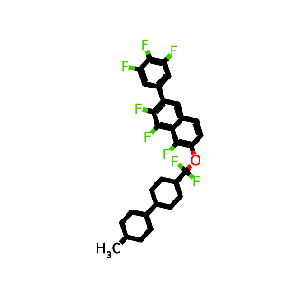 CC1CCC(C2CCC(C(F)(F)Oc3ccc4cc(-c5cc(F)c(F)c(F)c5)c(F)c(F)c4c3F)CC2)CC1